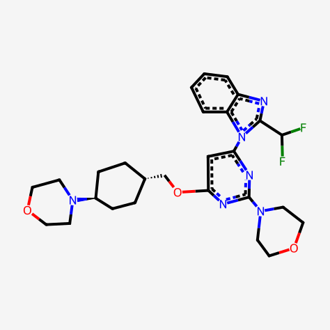 FC(F)c1nc2ccccc2n1-c1cc(OC[C@H]2CC[C@H](N3CCOCC3)CC2)nc(N2CCOCC2)n1